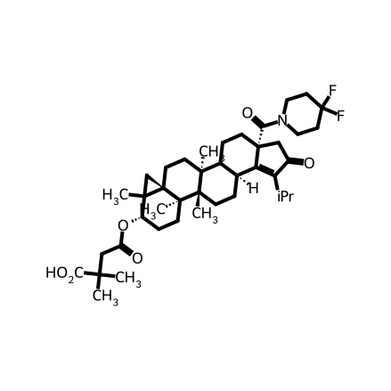 CC(C)C1=C2[C@H]3CC[C@]4(C)[C@@]5(C)CC[C@H](OC(=O)CC(C)(C)C(=O)O)C6(C)C[C@]65CC[C@@]4(C)C3CC[C@@]2(C(=O)N2CCC(F)(F)CC2)CC1=O